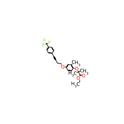 CCOC(=O)C(C)(C)Oc1ccc(OCCC#Cc2ccc(C(F)(F)F)cc2)cc1C